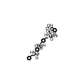 C[C@H](N[C@@H](CCc1ccc(CNS(=O)(=O)c2cc3c(cc2Cl)NC(CCc2ccccc2)NS3)cc1)C(=O)O)C(=O)N1c2ccccc2C[C@H]1C(=O)O